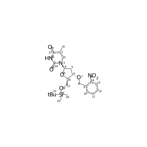 Cc1cn([C@H]2C[C@H](OCc3ccccc3[N+](=O)[O-])[C@@H](CO[Si](C)(C)C(C)(C)C)O2)c(=O)[nH]c1=O